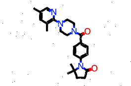 Cc1cnc(N2CCN(C(=O)c3ccc(N4C(=O)CCC4(C)C)cc3)CC2)c(C)c1